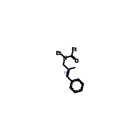 CCC(=O)N(CC)C/C(C)=C/c1ccccc1